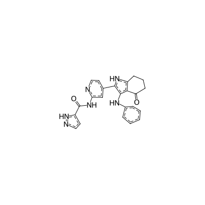 O=C(Nc1cc(-c2[nH]c3c(c2Nc2ccccc2)C(=O)CCC3)ccn1)c1ccn[nH]1